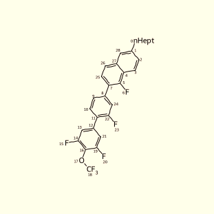 CCCCCCCc1ccc2c(F)c(-c3ccc(-c4cc(F)c(OC(F)(F)F)c(F)c4)c(F)c3)ccc2c1